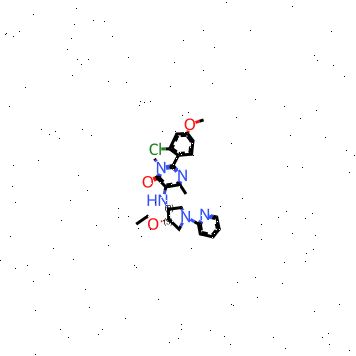 CCO[C@H]1CN(c2ccccn2)C[C@H]1Nc1c(C)nc(-c2ccc(OC)cc2Cl)n(C)c1=O